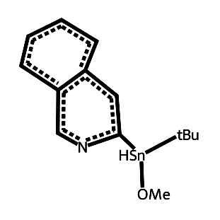 C[O][SnH]([c]1cc2ccccc2cn1)[C](C)(C)C